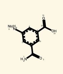 N.NC(=O)c1cc(N)cc(C(=O)O)c1